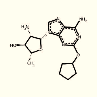 C[C@H]1O[C@@H](n2cnc3c(N)nc(OC4CCCC4)nc32)[C@@H](N)[C@@H]1O